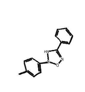 Cc1ccc(B2NC(c3ccccc3)=NO2)cc1